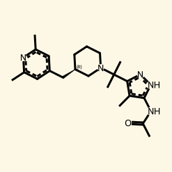 CC(=O)Nc1[nH]nc(C(C)(C)N2CCC[C@H](Cc3cc(C)nc(C)c3)C2)c1C